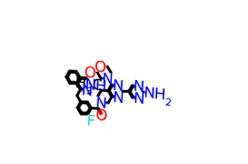 C[C@H]1COCCN1c1nc(-c2cnc(N)nc2)nc2c1CCN(C(=O)c1cc(Cc3n[nH]c(=O)c4ccccc34)ccc1F)C2